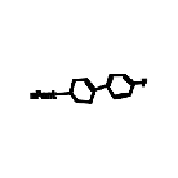 CCCCCC1CC=C(c2ccc(F)cc2)CC1